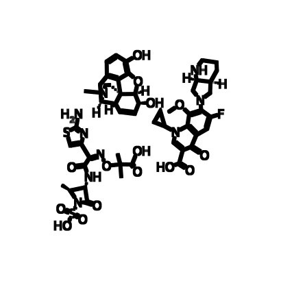 CN1CC[C@]23c4c5ccc(O)c4O[C@H]2[C@@H](O)C=C[C@H]3[C@H]1C5.COc1c(N2C[C@@H]3CCCN[C@@H]3C2)c(F)cc2c(=O)c(C(=O)O)cn(C3CC3)c12.C[C@H]1[C@H](NC(=O)C(=NOC(C)(C)C(=O)O)c2csc(N)n2)C(=O)N1S(=O)(=O)O